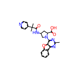 Cc1nc(N2CC(NC(=O)C(C)(C)c3ccncc3)CC2C(=O)O)c2oc3ccccc3c2n1